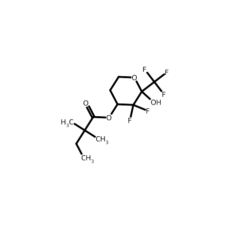 CCC(C)(C)C(=O)OC1CCOC(O)(C(F)(F)F)C1(F)F